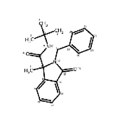 CC(C)(C)NC(=O)C1(C)c2ccccc2C(=O)N1Cc1ccccc1